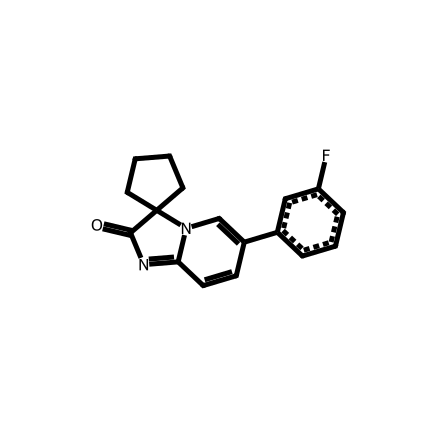 O=C1N=C2C=CC(c3cccc(F)c3)=CN2C12CCCC2